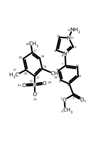 COC(=O)c1ccc(-[n+]2ccn(N)c2)cc1.Cc1cc(C)c(S(=O)(=O)[O-])c(C)c1